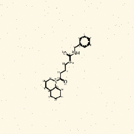 O=C(NCc1ccccc1)SCCCC(=O)N1CCCC2CCCCC21